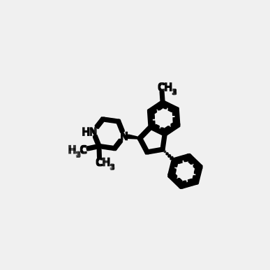 Cc1ccc2c(c1)[C@H](N1CCNC(C)(C)C1)C[C@H]2c1ccccc1